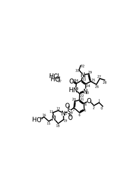 CCCOc1ccc(S(=O)(=O)N2CCN(CCO)CC2)cc1-c1nc2c(CCC)cn(CC)c2c(=O)[nH]1.Cl.Cl